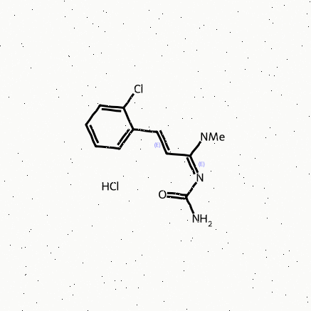 CNC(/C=C/c1ccccc1Cl)=N/C(N)=O.Cl